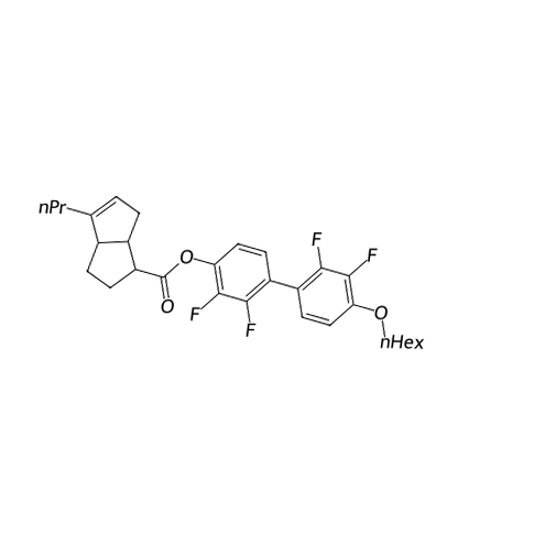 CCCCCCOc1ccc(-c2ccc(OC(=O)C3CCC4C(CCC)=CCC34)c(F)c2F)c(F)c1F